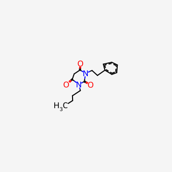 CCCCN1C(=O)CC(=O)N(CCc2ccccc2)C1=O